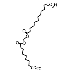 CCCCCCCCCCCCCCCCCC(=O)OCOC(=O)CCCCCCCCCCC(=O)O